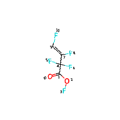 O=C(OF)C(F)(F)C(F)=CF